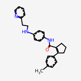 Cc1ccc(C2=C(C(=O)Nc3ccc(NCCc4ccccn4)cc3)CCC2)cc1